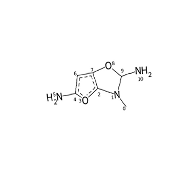 CN1c2oc(N)cc2OC1N